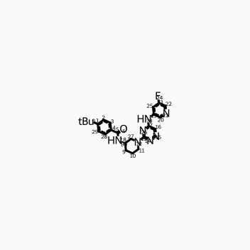 CC(C)(C)c1ccc(C(=O)N[C@@H]2CCCN(c3nncc(Nc4cncc(F)c4)n3)C2)cc1